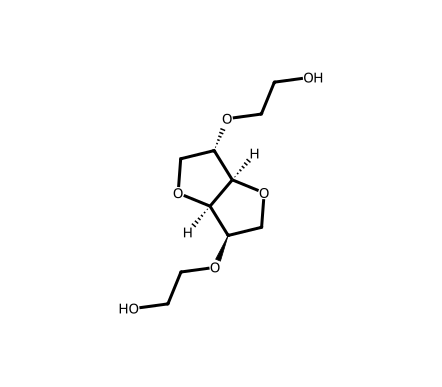 OCCO[C@H]1CO[C@H]2[C@@H]1OC[C@H]2OCCO